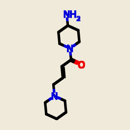 NC1CCN(C(=O)/C=C/CN2CCCCC2)CC1